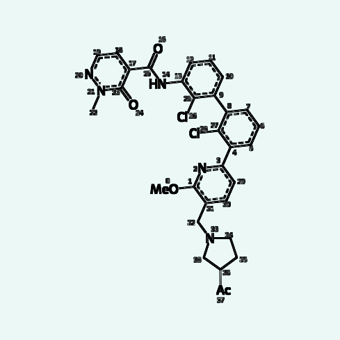 COc1nc(-c2cccc(-c3cccc(NC(=O)c4ccnn(C)c4=O)c3Cl)c2Cl)ccc1CN1CCC(C(C)=O)C1